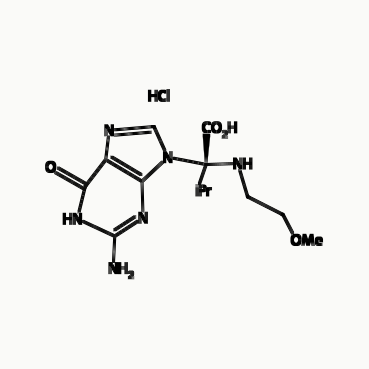 COCCN[C@](C(=O)O)(C(C)C)n1cnc2c(=O)[nH]c(N)nc21.Cl